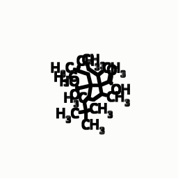 CCC(C)C(C(=O)O)(C(C)CC)C(CCC(C)(C)C)(CC(C)(C)C)C(=O)O